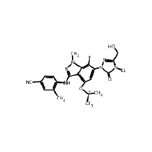 CCn1c(CO)nn(-c2cc(O[C@@H](C)C(F)(F)F)c3c(Nc4ccc(C#N)cc4C)nn(C)c3c2F)c1=O